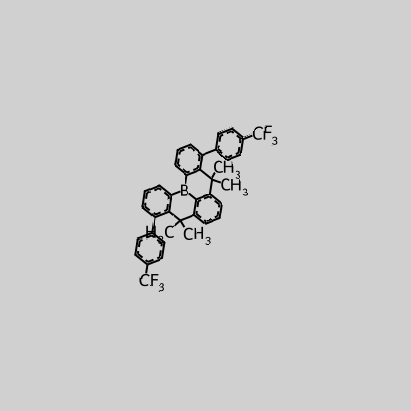 CC1(C)c2cccc3c2B(c2cccc(-c4ccc(C(F)(F)F)cc4)c21)c1cccc(-c2ccc(C(F)(F)F)cc2)c1C3(C)C